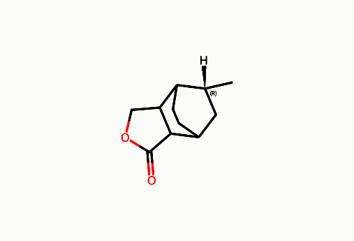 C[C@@H]1CC2CCC1C1COC(=O)C21